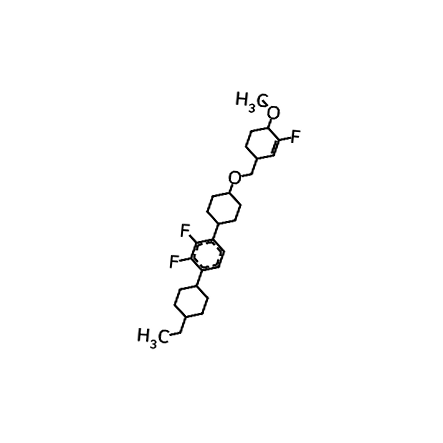 CCC1CCC(c2ccc(C3CCC(OCC4C=C(F)C(OC)CC4)CC3)c(F)c2F)CC1